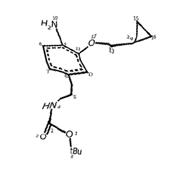 CC(C)(C)OC(=O)NCc1ccc(N)c(OCC2CC2)c1